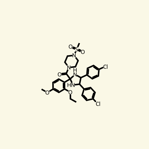 CCOc1cc(OC)ccc1C1(C(=O)N2CCN(S(C)(=O)=O)CC2)NC(c2ccc(Cl)cc2)C(c2ccc(Cl)cc2)N1